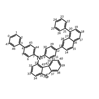 c1ccc(-c2ccc(N(c3ccc(-c4ccc5cccc(-c6ccccc6)c5c4)cc3)c3cccc4sc5ccccc5c34)cc2)cc1